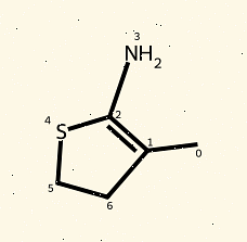 CC1=C(N)SCC1